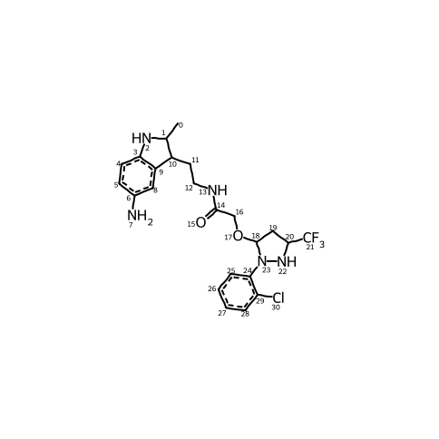 CC1Nc2ccc(N)cc2C1CCNC(=O)COC1CC(C(F)(F)F)NN1c1ccccc1Cl